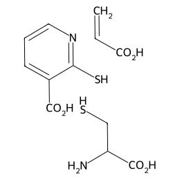 C=CC(=O)O.NC(CS)C(=O)O.O=C(O)c1cccnc1S